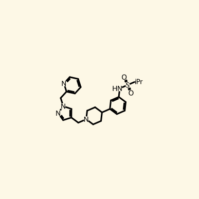 CC(C)S(=O)(=O)Nc1cccc(C2CCN(Cc3cnn(Cc4ccccn4)c3)CC2)c1